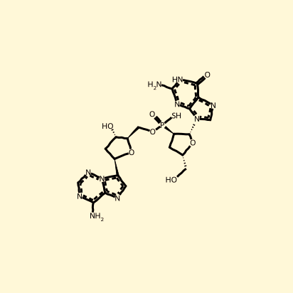 Nc1nc2c(ncn2[C@@H]2O[C@H](CO)C[C@H]2P(=O)(S)OC[C@H]2O[C@@H](c3cnc4c(N)ncnn34)C[C@@H]2O)c(=O)[nH]1